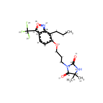 CCCc1c(OCCCN2C(=O)NC(C)(C)C2=O)ccc2c(C(F)(F)F)onc12